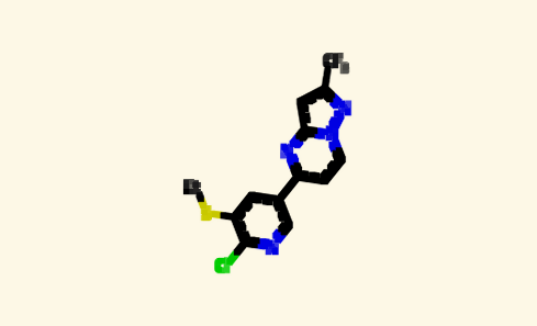 CCSc1cc(-c2ccn3nc(C(F)(F)F)cc3n2)cnc1Cl